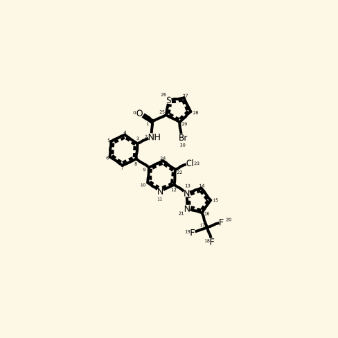 O=C(Nc1ccccc1-c1cnc(-n2ccc(C(F)(F)F)n2)c(Cl)c1)c1sccc1Br